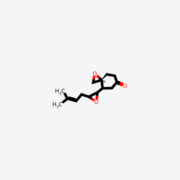 CC(C)=CCC1OC1C1CC(=O)CC[C@]12CO2